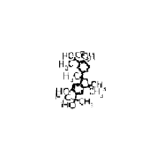 CC1(C)CC(C)(c2ccc(O)c(C(C)(O)C(F)(F)F)c2)c2cc(O)c(C(C)(O)C(F)(F)F)cc21